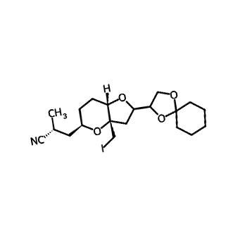 C[C@@H](C#N)C[C@H]1CC[C@@H]2OC(C3COC4(CCCCC4)O3)C[C@]2(CI)O1